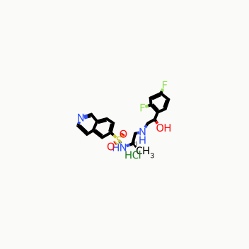 C[C@H](CNCC(O)c1ccc(F)cc1F)NS(=O)(=O)c1ccc2cnccc2c1.Cl